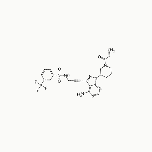 C=CC(=O)N1CCCC(n2nc(C#CCNS(=O)(=O)c3cccc(C(F)(F)F)c3)c3c(N)ncnc32)C1